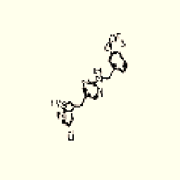 FC(F)(F)Oc1cccc(CNc2ncc(Cc3c[nH]c4ncc(Cl)cc34)cn2)c1